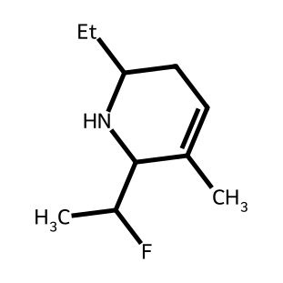 CCC1CC=C(C)C(C(C)F)N1